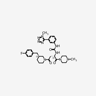 CN1CCN(C(=O)[C@H](CC(=O)N2CCC[C@@H](Cc3ccc(F)cc3)C2)NC(=O)Nc2cccc(-c3nnnn3C)c2)CC1